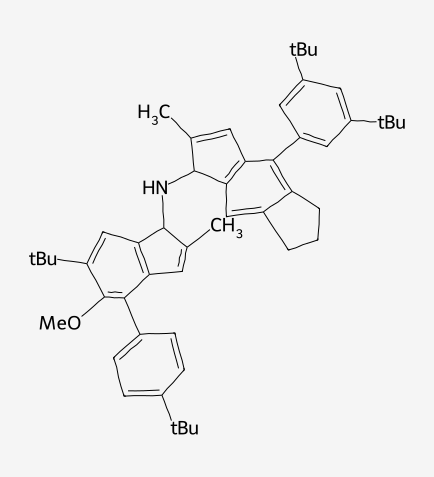 COc1c(C(C)(C)C)cc2c(c1-c1ccc(C(C)(C)C)cc1)C=C(C)C2NC1C(C)=Cc2c1cc1c(c2-c2cc(C(C)(C)C)cc(C(C)(C)C)c2)CCC1